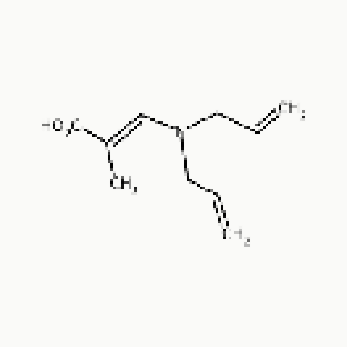 C=CCN(C=C(C)C(=O)O)CC=C